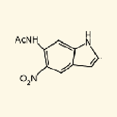 CC(=O)Nc1cc2[nH][c]cc2cc1[N+](=O)[O-]